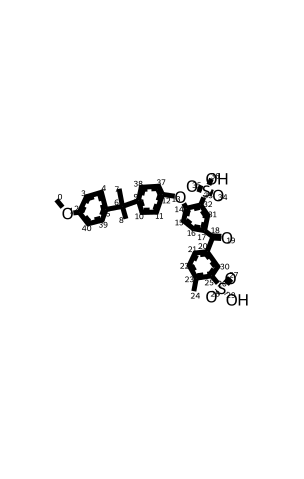 COc1ccc(C(C)(C)c2ccc(Oc3ccc(C(=O)c4ccc(C)c(S(=O)(=O)O)c4)cc3S(=O)(=O)O)cc2)cc1